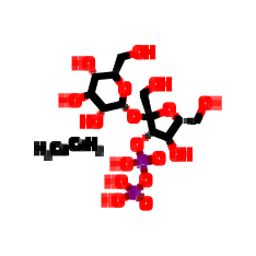 O=P(O)(O)OP(=O)(O)O[C@H]1[C@H](O)[C@@H](CO)O[C@@]1(CO)O[C@H]1O[C@H](CO)[C@@H](O)[C@H](O)[C@H]1O.[CaH2].[CaH2]